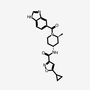 C[C@H]1C[C@H](NC(=O)c2cc(C3CC3)on2)CCN1C(=O)c1ccc2[nH]cnc2c1